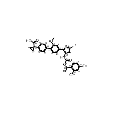 COc1cc(-c2sc(F)cc2NC(=O)OC(C)c2ccc(F)cc2Cl)ccc1-c1ccc(C2(C(=O)O)CC2)cc1